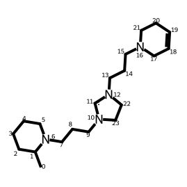 CC1CCCCN1CCCN1[C]N(CCCN2CC=CCC2)CC1